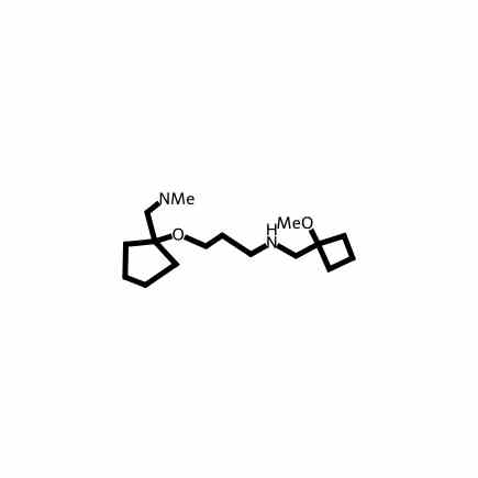 CNCC1(OCCCNCC2(OC)CCC2)CCCC1